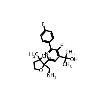 CC(C)(O)c1cc(C2(CN)OCCC2(C)C)nc(-c2ccc(F)cc2)c1F